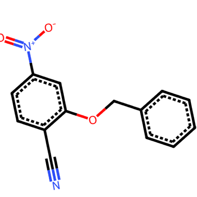 N#Cc1ccc([N+](=O)[O-])cc1OCc1ccccc1